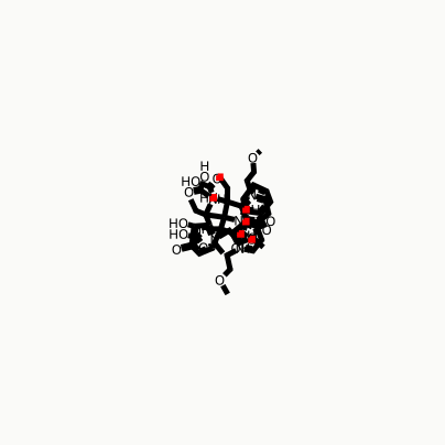 CCC(NC(=O)O)(c1c(O)c(=O)ccn1CCOC)C(N(C(=O)O)c1ccccc1)(C(CC)(NC(=O)O)c1c(O)c(=O)ccn1CCOC)C(CC)(NC(=O)O)c1c(O)c(=O)ccn1CCOC